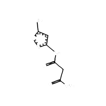 COC(=O)CC(=O)Nc1cc(C(C)(C)C)on1